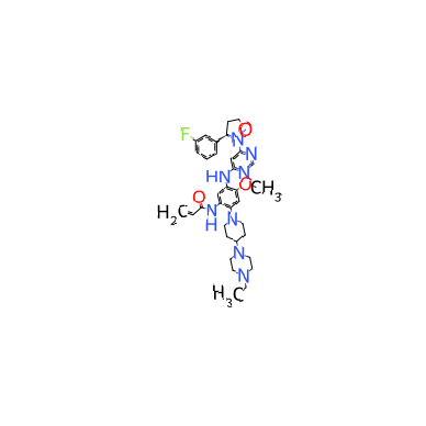 C=CC(=O)Nc1cc(Nc2cc(N3OCC[C@@H]3c3cccc(F)c3)ncn2)c(OC)cc1N1CCC(N2CCN(CC)CC2)CC1